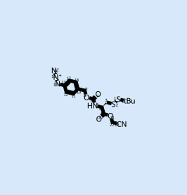 CC(C)(C)SSC[C@@H](NC(=O)OCc1ccc(N=[N+]=[N-])cc1)C(=O)OCC#N